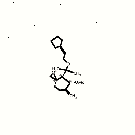 C=C1CC[C@]2(CO2)[C@@H](C(C)(C)OCC=C2CCCC2)[C@@H]1OC